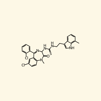 Cc1cccc2c(CCNC(=S)NC3N=C(c4ccccc4Cl)c4cc(Cl)ccc4N(C)C3=O)c[nH]c12